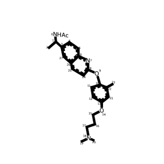 CC(=O)NC(C)c1ccc2nc(Oc3ccc(OCCCN(C)C)cc3C)ccc2c1